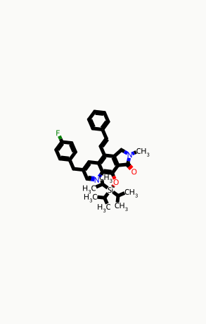 CC(C)[Si](Oc1c2c(c(/C=C/c3ccccc3)c3cc(Cc4ccc(F)cc4)cnc13)CN(C)C2=O)(C(C)C)C(C)C